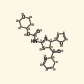 O=C(NC1=NC(c2ccco2)C(C(=O)C2CC=CC=N2)S1)OC1CCOCC1